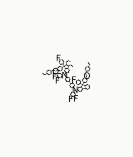 C=CC1=C(/C=C\C)C(c2ccc(F)cc2)(c2ccc(OCc3ccc(C=C)cc3)cc2)c2cc(N(c3ccc(-c4ccc(N(c5ccc(F)c(F)c5)c5ccc6c(c5)C(c5ccc(F)cc5)(c5ccc(OCc7ccc(C=C)cc7)cc5)c5ccccc5-6)cc4)cc3)c3ccc(F)c(F)c3)ccc21